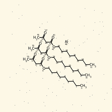 CCCCCCCCCOC(=O)CC(C)=O.CCCCCCCCCOC(=O)CC(C)=O.CCCCCCCCCOC(=O)CC(C)=O.[Al]